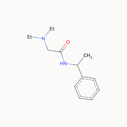 CCN(CC)CC(=O)NC(C)c1ccccc1